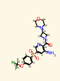 Nc1cc(S(=O)(=O)c2ccc(OC(F)(F)F)cc2)cnc1C(=O)N1CC(N2CCOCC2)C1